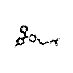 O=C(O)COC/C=C\CN1CCN(C(c2ccccc2)c2ccc(Cl)cc2)CC1